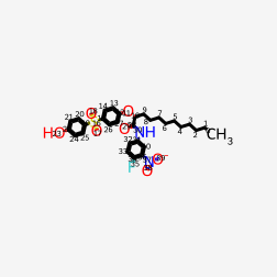 CCCCCCCCCCC(Oc1ccc(S(=O)(=O)c2ccc(O)cc2)cc1)C(=O)Nc1ccc(F)c([N+](=O)[O-])c1